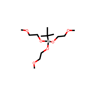 COCCO[Si](OCCOC)(OCCOC)C(C)(C)C